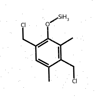 Cc1cc(CCl)c(O[SiH3])c(C)c1CCl